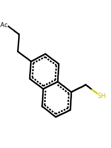 CC(=O)CCc1ccc2c(CS)cccc2c1